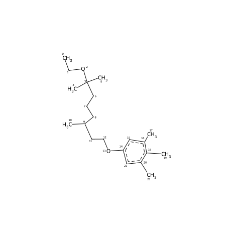 CCOC(C)(C)CCCC(C)CCOc1cc(C)c(C)c(C)c1